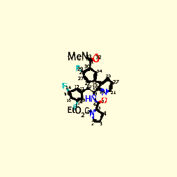 CCOC(=O)N1CCCC1C(=O)N[C@@H](Cc1cc(F)cc(F)c1)c1ncccc1-c1ccc(F)c(C(=O)NC)c1